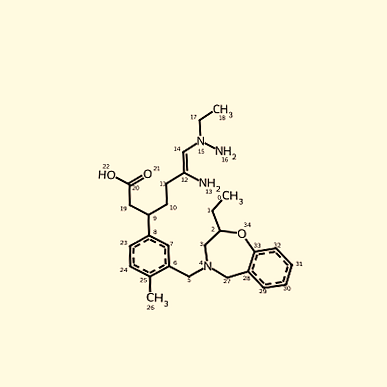 CCC1CN(Cc2cc(C(CC/C(N)=C/N(N)CC)CC(=O)O)ccc2C)Cc2ccccc2O1